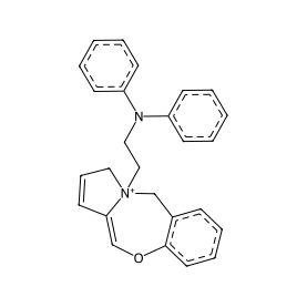 C1=CC2=COc3ccccc3C[N+]2(CCN(c2ccccc2)c2ccccc2)C1